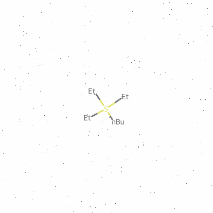 CCCCS(CC)(CC)CC